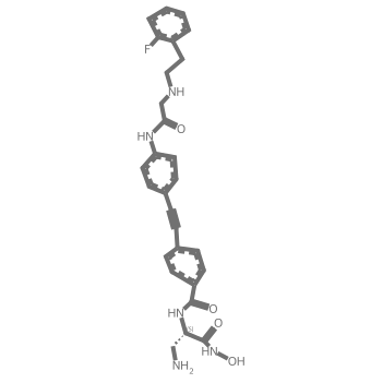 NC[C@H](NC(=O)c1ccc(C#Cc2ccc(NC(=O)CNCCc3ccccc3F)cc2)cc1)C(=O)NO